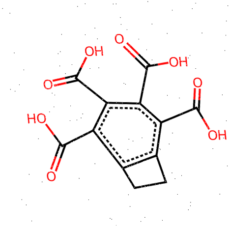 O=C(O)c1c2c(c(C(=O)O)c(C(=O)O)c1C(=O)O)CC2